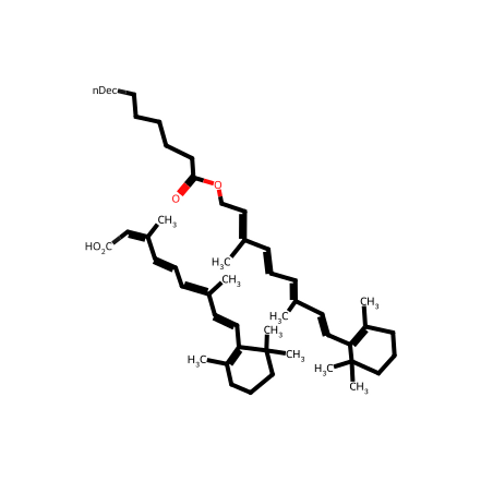 CC1=C(/C=C/C(C)=C/C=C/C(C)=C\C(=O)O)C(C)(C)CCC1.CCCCCCCCCCCCCCCC(=O)OC/C=C(C)/C=C/C=C(C)/C=C/C1=C(C)CCCC1(C)C